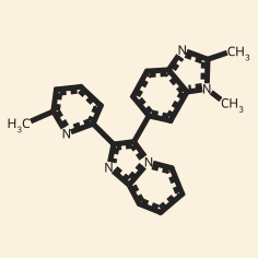 Cc1cccc(-c2nc3ccccn3c2-c2ccc3nc(C)n(C)c3c2)n1